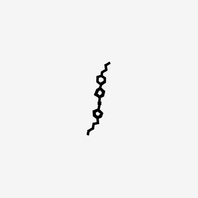 CCCCCc1ccc(C#Cc2ccc(C3=CCC(CCCC)CC3)cc2)cc1